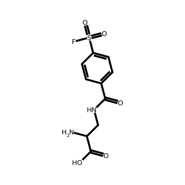 NC(CNC(=O)c1ccc(S(=O)(=O)F)cc1)C(=O)O